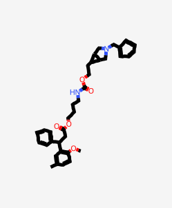 COc1ccc(C)cc1C(CC(=O)OCCCCNC(=O)OCCC1C2CN(Cc3ccccc3)CC12)c1ccccc1